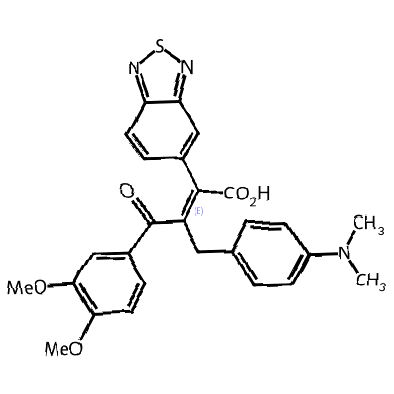 COc1ccc(C(=O)/C(Cc2ccc(N(C)C)cc2)=C(/C(=O)O)c2ccc3nsnc3c2)cc1OC